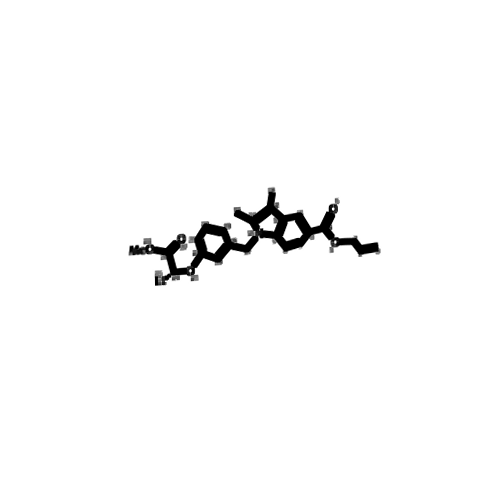 C=CCOC(=O)c1ccc2c(c1)c(C)c(C)n2Cc1cccc(O[C@H](CC)C(=O)OC)c1